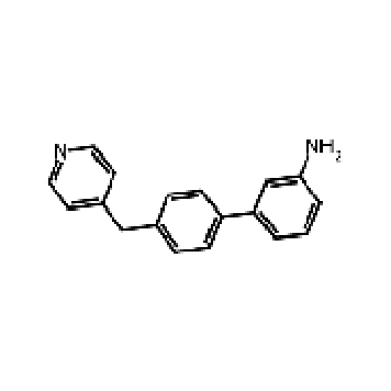 Nc1cccc(-c2ccc(Cc3ccncc3)cc2)c1